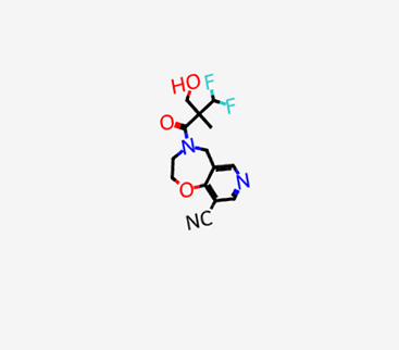 CC(CO)(C(=O)N1CCOc2c(C#N)cncc2C1)C(F)F